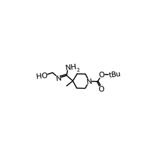 CC(C)(C)OC(=O)N1CCC(C)(C(N)=NCO)CC1